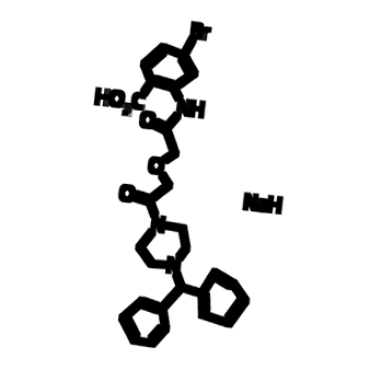 O=C(COCC(=O)N1CCN(C(c2ccccc2)c2ccccc2)CC1)Nc1cc(Br)ccc1C(=O)O.[NaH]